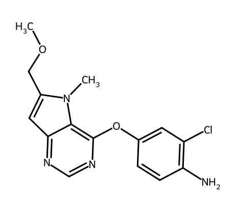 COCc1cc2ncnc(Oc3ccc(N)c(Cl)c3)c2n1C